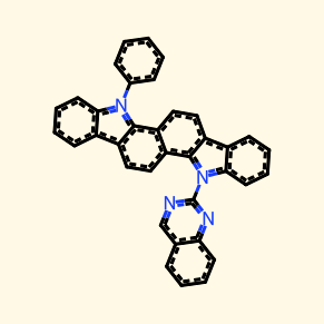 c1ccc(-n2c3ccccc3c3ccc4c(ccc5c6ccccc6n(-c6ncc7ccccc7n6)c54)c32)cc1